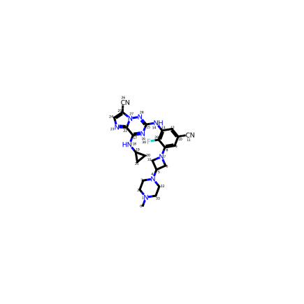 CN1CCN(C2CN(c3cc(C#N)cc(Nc4nc(NC5CC5)c5ncc(C#N)n5n4)c3F)C2)CC1